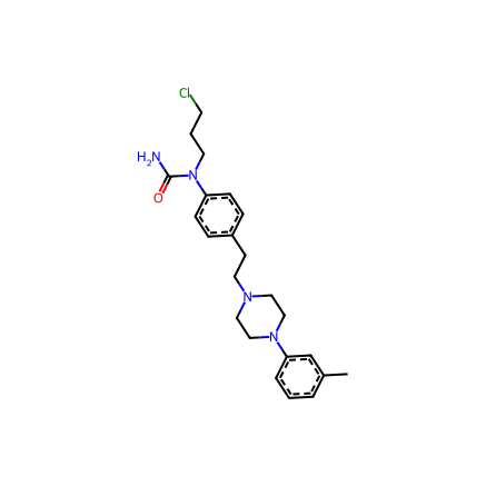 Cc1cccc(N2CCN(CCc3ccc(N(CCCCl)C(N)=O)cc3)CC2)c1